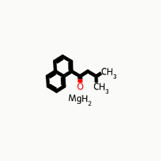 CC(C)CC(=O)c1cccc2ccccc12.[MgH2]